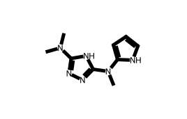 CN(C)c1nnc(N(C)c2ccc[nH]2)[nH]1